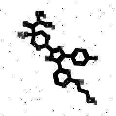 CCCNc1nccc(-c2[nH]c(C3OCC(C)(C(=O)N(C)C)CO3)nc2-c2ccc(F)cc2)n1